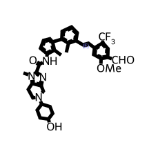 COc1cc(/C=C/c2cccc(-c3cccc(NC(=O)c4nc5c(n4C)CCN(C4CCC(O)CC4)C5)c3C)c2C)c(C(F)(F)F)cc1C=O